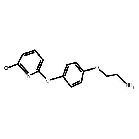 NCCOc1ccc(Oc2cccc(Cl)n2)cc1